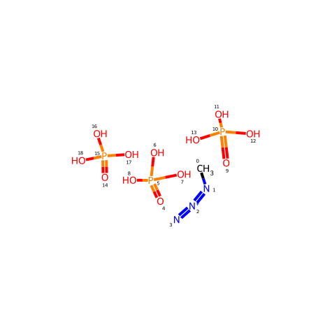 CN=[N+]=[N-].O=P(O)(O)O.O=P(O)(O)O.O=P(O)(O)O